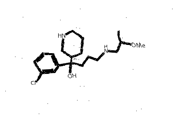 COC(C)CNCCCC(O)(c1cccc(Cl)c1)[C@@H]1CCCNC1